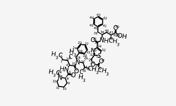 CC[C@H](C)[C@H](NC(=O)[C@H]1CCCCN1C)C(=O)N(Cc1ccccc1)[C@H](C[C@@H](OC(C)=O)c1nc(C(=O)N[C@@H](Cc2ccccc2)C[C@H](C)C(=O)O)cs1)C(C)C